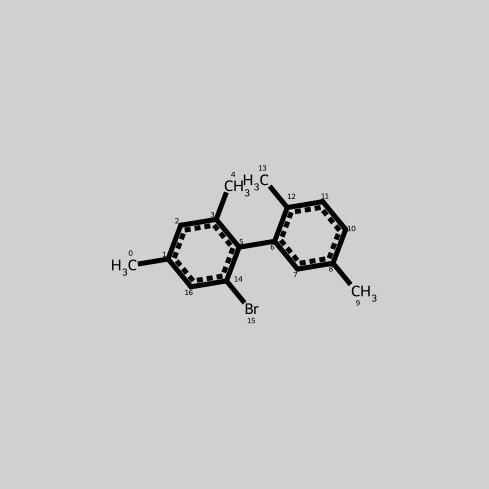 Cc1cc(C)c(-c2cc(C)ccc2C)c(Br)c1